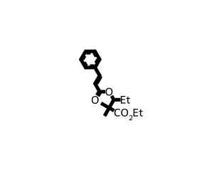 CCOC(=O)C(C)(C)C(CC)OC(=O)C=Cc1ccccc1